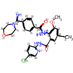 COc1cc(C)cc(C(=O)Nc2ccc(Cl)cn2)c1NC(=O)c1ccc(C(=N)N2CCOCC2)cc1